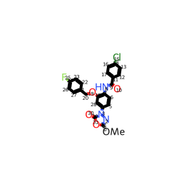 COc1nn(-c2ccc(NC(=O)c3ccc(Cl)cc3)c(OCc3ccc(F)cc3)c2)c(=O)o1